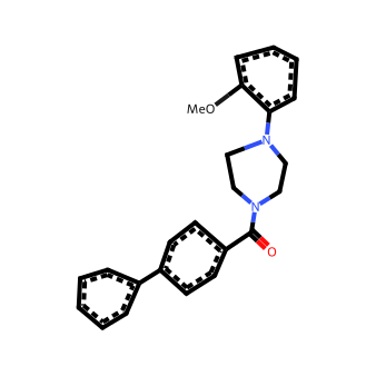 COc1ccccc1N1CCN(C(=O)c2ccc(-c3ccccc3)cc2)CC1